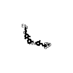 CCOCCOc1cc(C)c(-c2cccc(CNc3ccc(CCC(=O)OS(C)(=O)=O)c(C)c3)c2)c(C)c1